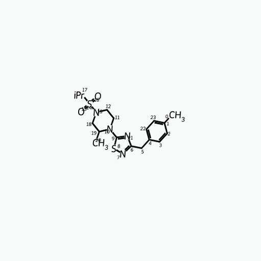 Cc1ccc(Cc2nsc(N3CCN(S(=O)(=O)C(C)C)CC3C)n2)cc1